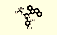 CCCCC(CC)COc1cc(-c2cc3c4ccccc4ccc3c3ccccc23)nc(-c2ccc(O)cc2O)n1